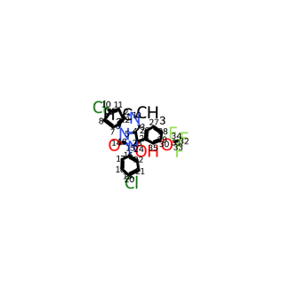 CN(C)C[C@@H]1N(c2ccc(Cl)cc2)C(=O)N(c2ccc(Cl)cc2)C1(O)c1cccc(OC(F)(F)F)c1